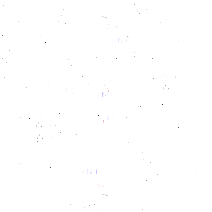 C=C(C)C(=O)OCCNC(=O)OCCCCCCCCC(CCCCCCCCC)C(CCCCCCCCC)CCCCCCCCOC(=O)NC1CCC(NC(=O)OCCCCCCCCC(CCCCCCCCC)C(CCCCCCCCC)CCCCCCCCOC(=O)NCCOC(=O)C(=C)C)CC1